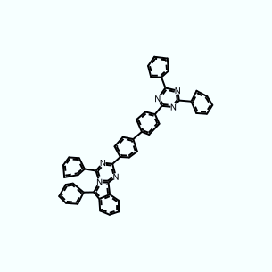 c1ccc(-c2nc(-c3ccccc3)nc(-c3ccc(-c4ccc(-c5nc(-c6ccccc6)n6c(-c7ccccc7)c7ccccc7c6n5)cc4)cc3)n2)cc1